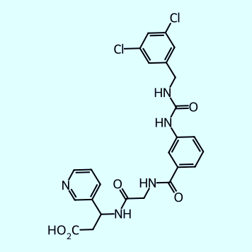 O=C(O)CC(NC(=O)CNC(=O)c1cccc(NC(=O)NCc2cc(Cl)cc(Cl)c2)c1)c1cccnc1